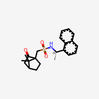 C[C@H](NS(=O)(=O)CC12CCC(CC1=O)C2(C)C)c1cccc2ccccc12